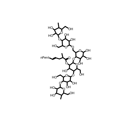 CCCCCC=CCC(C)C(=O)OC1C(OC2C(COC3OC(CO)C(OC4OC(CO)C(C)C(O)C4O)C(O)C3O)OC(O)C(O)C2O)OC(CO)C(OC2OC(CO)C(OC3OC(CO)C(C)C(O)C3O)C(O)C2O)C1O